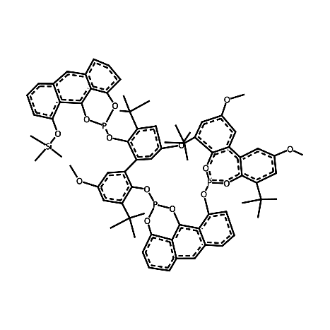 COc1cc(-c2cc(OC)cc(C(C)(C)C)c2OP2Oc3cccc4cc5cccc(O[Si](C)(C)C)c5c(c34)O2)c(OP2Oc3cccc4cc5cccc(Op6oc7c(C(C)(C)C)cc(OC)cc7c7cc(OC)cc(C(C)(C)C)c7o6)c5c(c34)O2)c(C(C)(C)C)c1